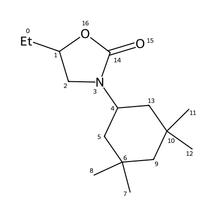 CCC1CN(C2CC(C)(C)CC(C)(C)C2)C(=O)O1